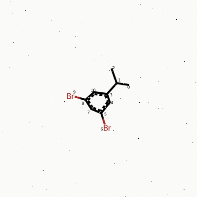 CC(C)c1[c]c(Br)cc(Br)c1